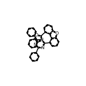 c1ccc(-c2nc(-c3ccccc3)nc(-c3cccc4oc5cccc(-c6nc7ccccc7o6)c5c34)n2)cc1